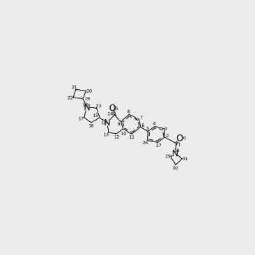 O=C(c1ccc(-c2ccc3c(c2)CCN(C2CCN(C4CCC4)C2)C3=O)cc1)N1CCC1